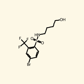 O=S(=O)(NCCCCO)c1ccc(Br)cc1C(F)(F)F